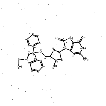 Nc1nc2c([nH]c(=O)n2[C@H]2CC(O)[C@@H](CO[Si](OCCO)(c3ccccc3)c3ccccc3)O2)c(=O)[nH]1